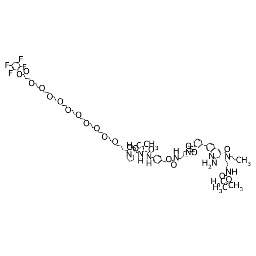 CCCN(CCCNC(=O)OC(C)(C)C)C(=O)C1=Cc2ccc(-c3cccc(S(=O)(=O)N4CC(CNC(=O)OCc5ccc(NC(=O)[C@@H](NC(=O)[C@@H]6CCCN6C(=O)CCCOCCOCCOCCOCCOCCOCCOCCOCCOCCOCCC(=O)Oc6c(F)c(F)cc(F)c6F)C(C)C)cc5)C4)c3)cc2N=C(N)C1